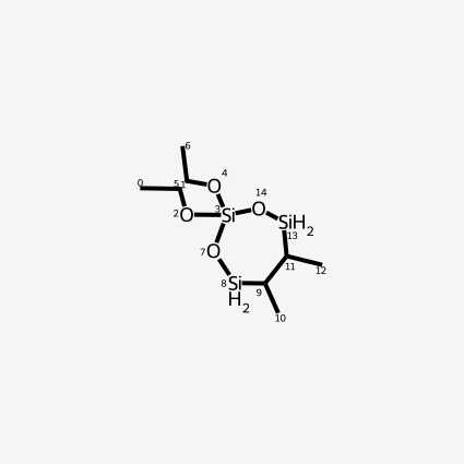 CCO[Si]1(OCC)O[SiH2]C(C)C(C)[SiH2]O1